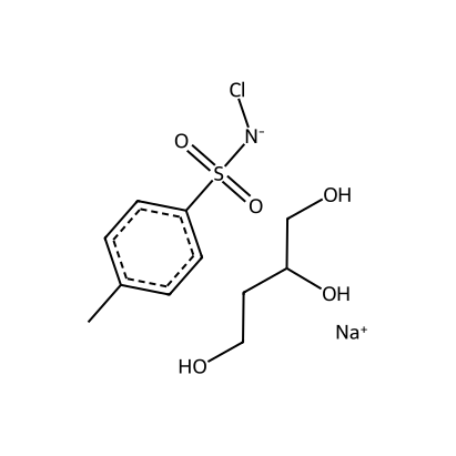 Cc1ccc(S(=O)(=O)[N-]Cl)cc1.OCCC(O)CO.[Na+]